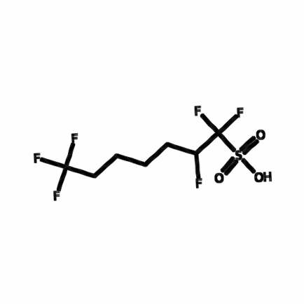 O=S(=O)(O)C(F)(F)C(F)CCCCC(F)(F)F